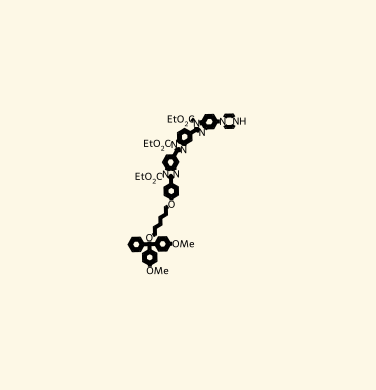 CCOC(=O)n1c(-c2ccc(OCCCCCCOC(c3ccccc3)(c3ccc(OC)cc3)c3ccc(OC)cc3)cc2)nc2cc(-c3nc4cc(-c5nc6cc(N7CCNCC7)ccc6n5C(=O)OCC)ccc4n3C(=O)OCC)ccc21